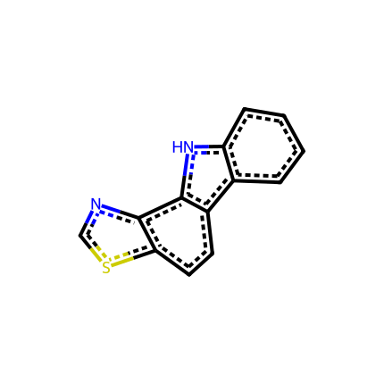 c1ccc2c(c1)[nH]c1c2ccc2scnc21